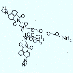 CC(C)(C)OC(=O)N(CCCN(CCN1C(=O)c2cccc3c(-n4ccnc4)ccc(c23)C1=O)C(=O)CCOCCOCCOCCOCCN)CCN1C(=O)c2cccc3c(-n4ccnc4)ccc(c23)C1=O